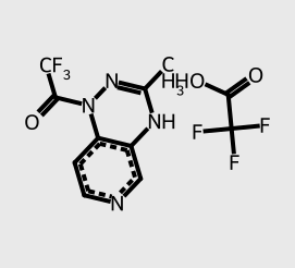 CC1=NN(C(=O)C(F)(F)F)c2ccncc2N1.O=C(O)C(F)(F)F